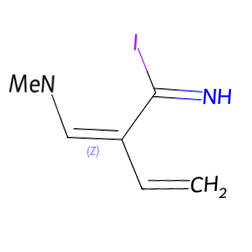 C=C/C(=C/NC)C(=N)I